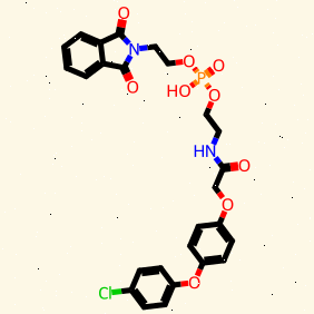 O=C(COc1ccc(Oc2ccc(Cl)cc2)cc1)NCCOP(=O)(O)OCCN1C(=O)c2ccccc2C1=O